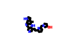 Cc1c(Nc2c(C#N)cncc2/C=C/c2cccc(CN3CCC(O)C3)n2)ccc2[nH]ccc12